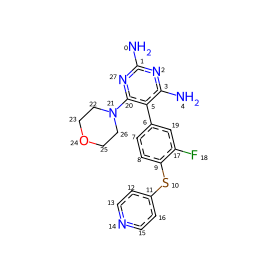 Nc1nc(N)c(-c2ccc(Sc3ccncc3)c(F)c2)c(N2CCOCC2)n1